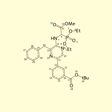 CCOP(=O)(OCC)C(Nc1ncc(-c2cccc(C(=O)OC(C)(C)C)c2)nc1Cc1ccccc1)C(=O)OC